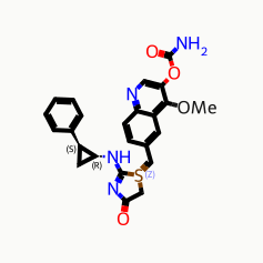 COc1c(OC(N)=O)cnc2ccc(/C=S3/CC(=O)N=C3N[C@@H]3C[C@H]3c3ccccc3)cc12